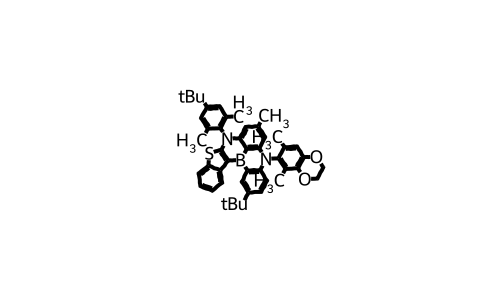 Cc1cc2c3c(c1)N(c1c(C)cc(C(C)(C)C)cc1C)c1sc4ccccc4c1B3c1cc(C(C)(C)C)ccc1N2c1c(C)cc2c(c1C)OCCO2